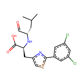 CC(C)C[C@@H](C=O)N[C@@H](Cc1csc(-c2cc(Cl)cc(Cl)c2)n1)C(=O)O